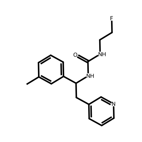 Cc1cccc(C(Cc2cccnc2)NC(=O)NCCF)c1